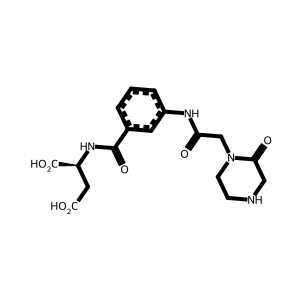 O=C(O)C[C@H](NC(=O)c1cccc(NC(=O)CN2CCNCC2=O)c1)C(=O)O